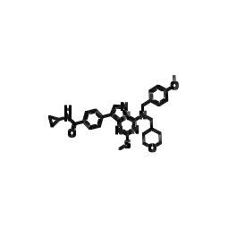 COc1ccc(CN(CC2CCOCC2)c2nc(SC)nc3c(-c4ccc(C(=O)NC5CC5)cc4)cnn23)cc1